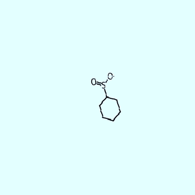 [O]S(=O)C1CCCCC1